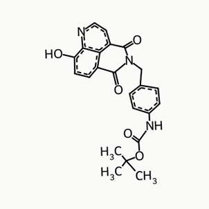 CC(C)(C)OC(=O)Nc1ccc(CN2C(=O)c3ccnc4c(O)ccc(c34)C2=O)cc1